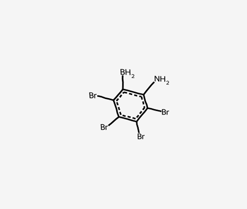 Bc1c(N)c(Br)c(Br)c(Br)c1Br